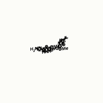 COc1cc2c(cc1OCCCOc1cc3c(cc1OC)C(=O)N1C=C(c4ccc(N)cc4)C[C@H]1CN3)N=C[C@@H]1CC(C3CC3)=CN1C2=O